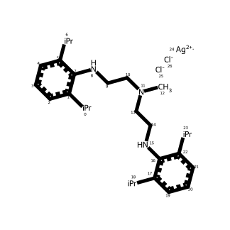 CC(C)c1cccc(C(C)C)c1NCCN(C)CCNc1c(C(C)C)cccc1C(C)C.[Ag+2].[Cl-].[Cl-]